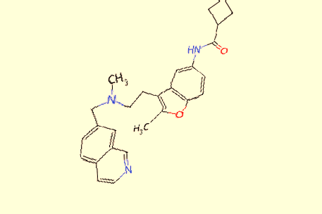 Cc1oc2ccc(NC(=O)C3CCC3)cc2c1CCN(C)Cc1ccc2ccncc2c1